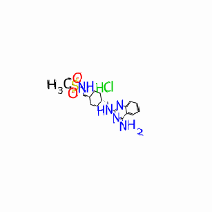 CS(=O)(=O)NC[C@H]1CC[C@H](CNc2nc(N)c3ccccc3n2)CC1.Cl